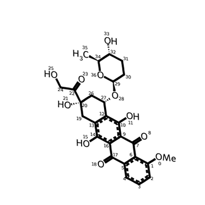 COc1cccc2c1C(=O)c1c(O)c3c(c(O)c1C2=O)C[C@@](O)(C(=O)CO)C[C@@H]3O[C@@H]1CC[C@@H](O)[C@H](C)O1